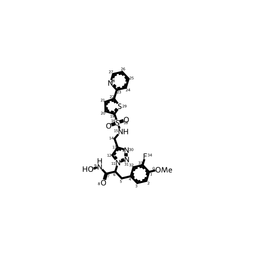 COc1ccc(CC(C(=O)NO)n2cc(CNS(=O)(=O)c3ccc(-c4ccccn4)s3)nn2)cc1F